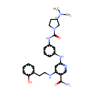 CN(C)[C@@H]1CCN(C(=O)Nc2cccc(Nc3cc(NCCc4ccccc4O)c(C(N)=O)cn3)c2)C1